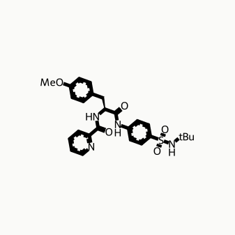 COc1ccc(C[C@H](NC(=O)c2ccccn2)C(=O)Nc2ccc(S(=O)(=O)NC(C)(C)C)cc2)cc1